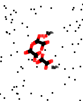 O.O=C([O-])C(=O)[O-].O=C([O-])C(=O)[O-].O=C([O-])C(=O)[O-].[Ru+3].[Ru+3]